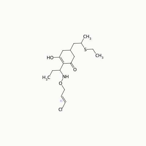 CCSC(C)CC1CC(=O)C(C(CC)NOC/C=C/Cl)=C(O)C1